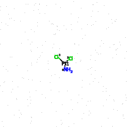 [NH2][Pt+]([Cl])[Cl]